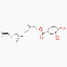 COc1cc(C(=O)OCC=C(C)CCC=C(C)CCC=C(C)C)ccc1O